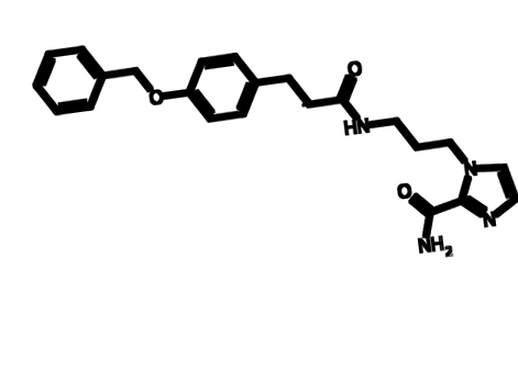 NC(=O)c1nccn1CCCNC(=O)[CH]Cc1ccc(OCc2ccccc2)cc1